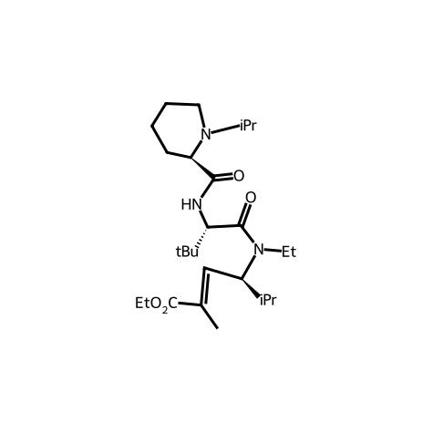 CCOC(=O)/C(C)=C/[C@H](C(C)C)N(CC)C(=O)[C@@H](NC(=O)[C@H]1CCCCN1C(C)C)C(C)(C)C